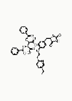 CCc1ccc(CCOc2ccc(CC3SC(=O)NC3=O)cc2)nc1.O=C(O[C@@H](C(=O)O)[C@@H](OC(=O)c1ccccc1)C(=O)O)c1ccccc1